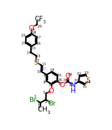 CC(Br)C(Br)COc1cc(/C=C/SCCc2ccc(OCC(F)(F)F)cc2)ccc1OC(=O)Nc1ccsc1